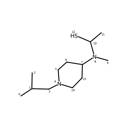 CC(C)CN1CCC(N(C)C(C)S)CC1